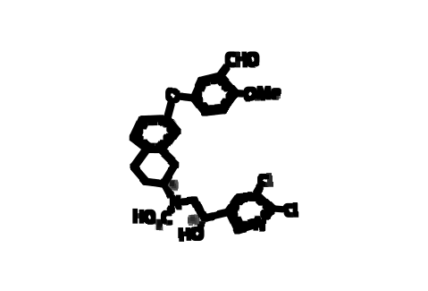 COc1ccc(Oc2ccc3c(c2)C[C@@H](N(C[C@@H](O)c2cnc(Cl)c(Cl)c2)C(=O)O)CC3)cc1C=O